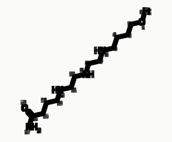 CCOCCCCNCCNCCNCCCC(N)=O